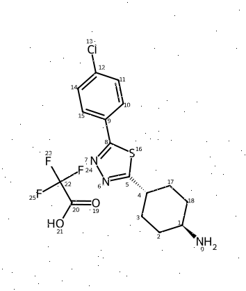 N[C@H]1CC[C@H](c2nnc(-c3ccc(Cl)cc3)s2)CC1.O=C(O)C(F)(F)F